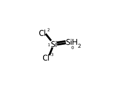 [SiH2]=[Si](Cl)Cl